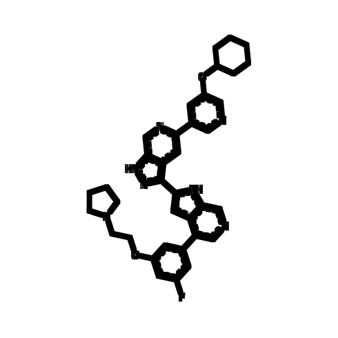 Fc1cc(OCCN2CCCC2)cc(-c2cncc3[nH]c(-c4n[nH]c5cnc(-c6cncc(OC7CCCCC7)c6)cc45)cc23)c1